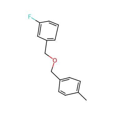 Cc1ccc(COCc2cccc(F)c2)cc1